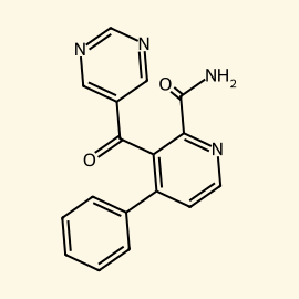 NC(=O)c1nccc(-c2ccccc2)c1C(=O)c1cncnc1